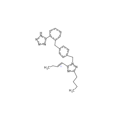 CC/C=C/c1nc(CCCC)nn1Cc1ccc(Cc2ccccc2-c2nnn[nH]2)cc1